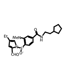 CCc1cc(C=O)n([S+]([O-])c2ccc(C(=O)NCCC3CCCC3)cc2NC)c1